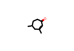 CC1=CC(=O)CCC(C)C1